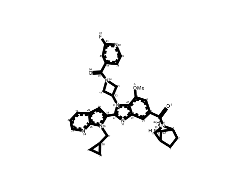 COc1cc(C(=O)N2CC3CCC2[C@@H]3N)cc2nc(-c3cc4cccnc4n3CC3CC3)n(C3CN(C(=O)c4ccnc(F)c4)C3)c12